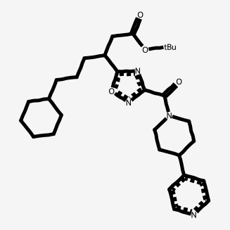 CC(C)(C)OC(=O)CC(CCCC1CCCCC1)c1nc(C(=O)N2CCC(c3ccncc3)CC2)no1